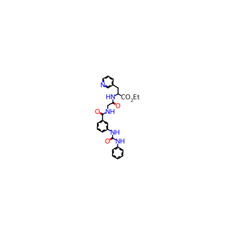 CCOC(=O)C(Cc1cccnc1)NC(=O)CNC(=O)c1cccc(NC(=O)Nc2ccccc2)c1